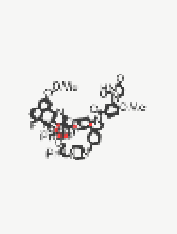 COCOc1cc(-c2ncc3c(N4CC5CCC(C4)N5C(=O)OC(C)(C)C)nc(OC[C@@H](CN4CCN(CC5CCC6(CC5)CCN(C(=O)c5ccc(OC)c(N7CCC(=O)NC7=O)c5)CC6)CC4)C(C)C)nc3c2F)c2c(C#C[Si](C(C)C)(C(C)C)C(C)C)c(F)ccc2c1